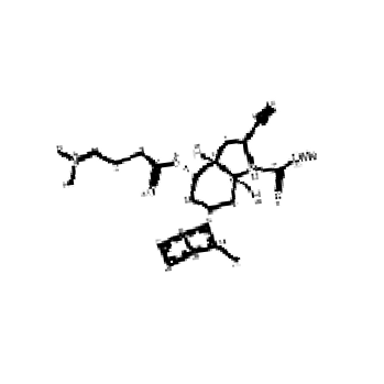 C#CC1C[C@H]2[C@@H](OC(=O)CCCN(C)C)CCC[C@H]2N1C(=O)OC.Cc1cc2ccc1-2